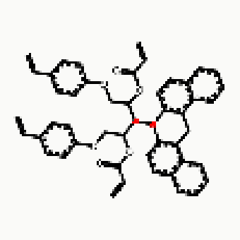 C=CC(=O)OC(COc1ccc(C=C)cc1)COc1ccc2ccccc2c1Cc1c(OCC(COc2ccc(C=C)cc2)OC(=O)C=C)ccc2ccccc12